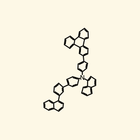 c1cc(-c2ccc(N(c3ccc(-c4ccc5c6ccccc6c6ccccc6c5c4)cc3)c3cccc4ccccc34)cc2)cc(-c2cccc3ccccc23)c1